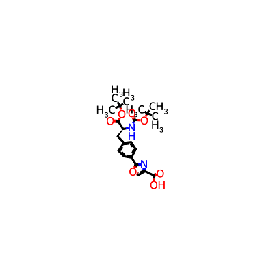 CC(C)(C)OC(=O)N[C@@H](Cc1ccc(-c2nc(C(=O)O)co2)cc1)C(=O)OC(C)(C)C